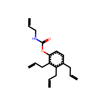 C=CCNC(=O)Oc1ccc(CC=C)c(CC=C)c1CC=C